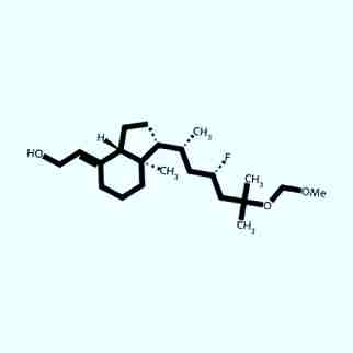 COCOC(C)(C)C[C@@H](F)C[C@@H](C)[C@H]1CC[C@H]2/C(=C/CO)CCC[C@]12C